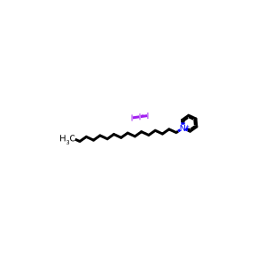 CCCCCCCCCCCCCCCC[n+]1ccccc1.I[I-]I